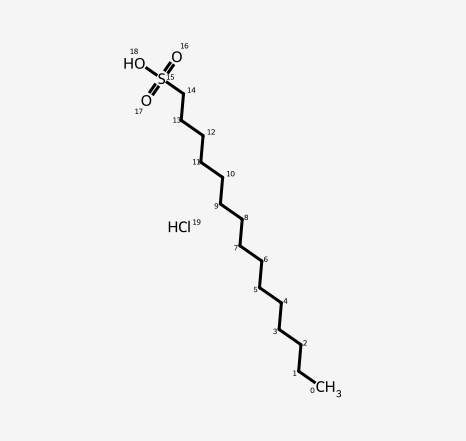 CCCCCCCCCCCCCCCS(=O)(=O)O.Cl